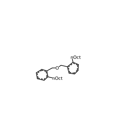 CCCCCCCCc1ccccc1COCc1ccccc1CCCCCCCC